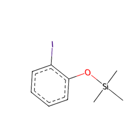 C[Si](C)(C)Oc1ccccc1I